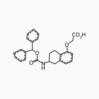 O=C(O)COc1cccc2c1CCC(NC(=O)OC(c1ccccc1)c1ccccc1)C2